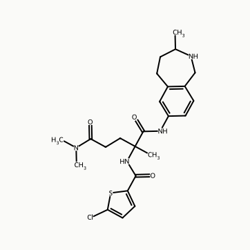 CC1CCc2cc(NC(=O)C(C)(CCC(=O)N(C)C)NC(=O)c3ccc(Cl)s3)ccc2CN1